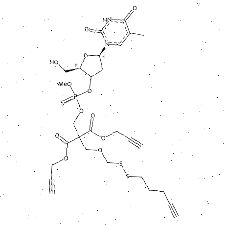 C#CCCCSSCOCC(COP(=S)(OC)OC1C[C@H](n2cc(C)c(=O)[nH]c2=O)O[C@@H]1CO)(C(=O)OCC#C)C(=O)OCC#C